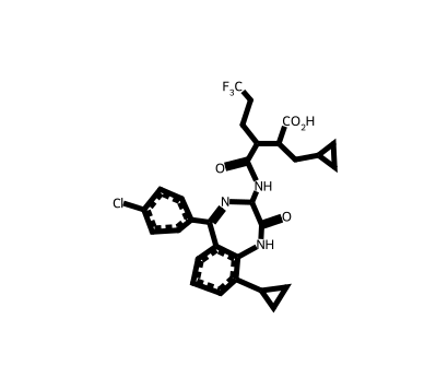 O=C1Nc2c(cccc2C2CC2)C(c2ccc(Cl)cc2)=NC1NC(=O)C(CCC(F)(F)F)C(CC1CC1)C(=O)O